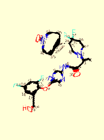 CC(C(=O)Nc1cnc(Oc2c(F)cc(F)cc2CO)cn1)N1CCC(F)(F)[C@@H](c2cc[n+]([O-])cc2)C1